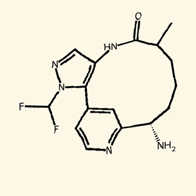 CC1CCC[C@H](N)c2cc(ccn2)-c2c(cnn2C(F)F)NC1=O